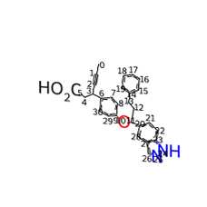 CC#CC(CC(=O)O)c1ccc(OC(CCc2ccccc2)c2ccc3[nH]ncc3c2)cc1